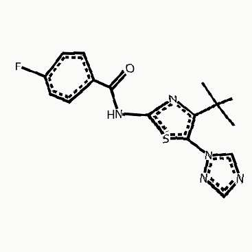 CC(C)(C)c1nc(NC(=O)c2ccc(F)cc2)sc1-n1cncn1